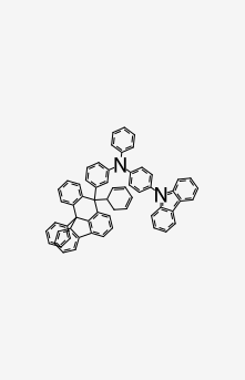 C1=CCC(C2(c3cccc(N(c4ccccc4)c4ccc(-n5c6ccccc6c6ccccc65)cc4)c3)c3ccccc3C3(c4ccccc4)c4ccccc4-c4cccc2c43)C=C1